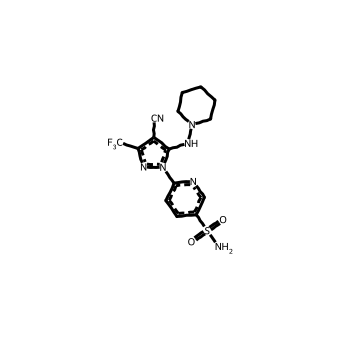 N#Cc1c(C(F)(F)F)nn(-c2ccc(S(N)(=O)=O)cn2)c1NN1CCCCC1